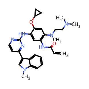 C=CC(=O)Nc1cc(Nc2nccc(-c3cn(C)c4ccccc34)n2)c(OC2CC2)cc1N(C)CCN(C)C